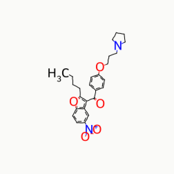 CCCCc1oc2ccc([N+](=O)[O-])cc2c1C(=O)c1ccc(OCCCN2CCCC2)cc1